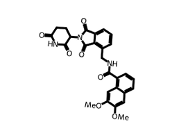 COc1cc2cccc(C(=O)NCc3cccc4c3C(=O)N(C3CCC(=O)NC3=O)C4=O)c2cc1OC